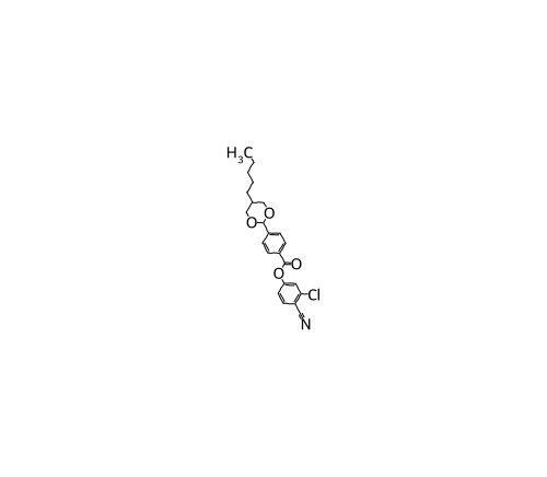 CCCCCC1COC(c2ccc(C(=O)Oc3ccc(C#N)c(Cl)c3)cc2)OC1